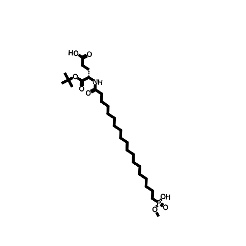 COP(=O)(O)CCCCCCCCCCCCCCCCCCC(=O)N[C@@H](CCC(=O)O)C(=O)OC(C)(C)C